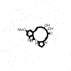 COc1cc(O)c2c(c1)/C=C/C[C@H](O)[C@H](O)C(=O)/C=C\[C@H]1CCC[C@@H]1OC2=O